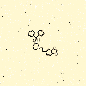 [2H]C(O[C@@H]1CCCN(CCc2ccc3c(c2)OCO3)C1)(c1ccccc1)c1ccccc1